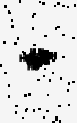 Nc1nc(S)c2ncn(C3CC(O)C(COP(=O)(O)O)O3)c2n1